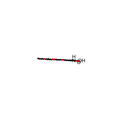 CCCCCCCCCCCCCCCCCCCCCCCCCCCCCCCCCCCCCNCCCCC(=O)O